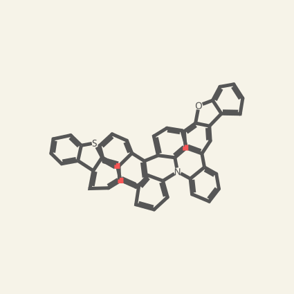 c1cc(-c2ccc3c(c2)sc2ccccc23)cc(N(c2ccccc2-c2ccc3oc4ccccc4c3c2)c2ccccc2-c2cccc3ccccc23)c1